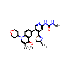 CCCNC(=O)Nc1cc(C2=NC(C(F)(F)F)CS2)c(-c2ccc3c(c2)c(=O)c(C(=O)OCC)cn3C2CCOCC2)cn1